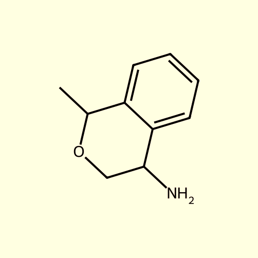 CC1OCC(N)c2ccccc21